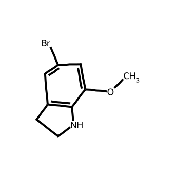 COc1cc(Br)cc2c1NCC2